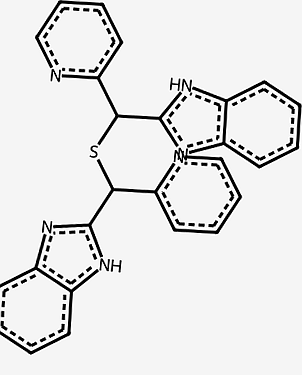 c1ccc(C(SC(c2ccccn2)c2nc3ccccc3[nH]2)c2nc3ccccc3[nH]2)nc1